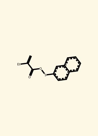 C=C(CC)C(=O)OSc1ccc2ccccc2c1